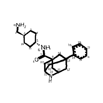 NC[C@H]1CC[C@H](NC(=O)C23CC4CC(c5ccccc5)(CC(C2)N4)C3)CC1